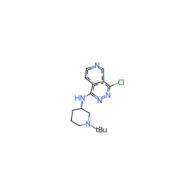 CC(C)(C)N1CCC[C@@H](Nc2nnc(Cl)c3cnccc23)C1